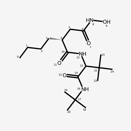 CCCC[C@H](CC(=O)NO)C(=O)NC(C(=O)NC(C)(C)C)C(C)(C)C